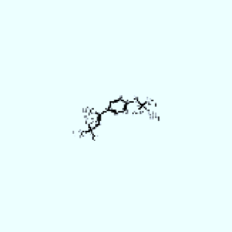 CCC(C)(CC(C)c1ccc(OC(C)(C)C(F)(F)F)cc1)C(=O)O